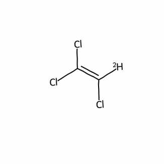 [2H]C(Cl)=C(Cl)Cl